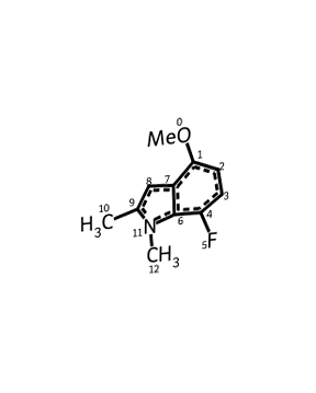 COc1ccc(F)c2c1cc(C)n2C